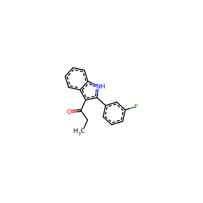 CCC(=O)c1c(-c2cccc(F)c2)[nH]c2ccccc12